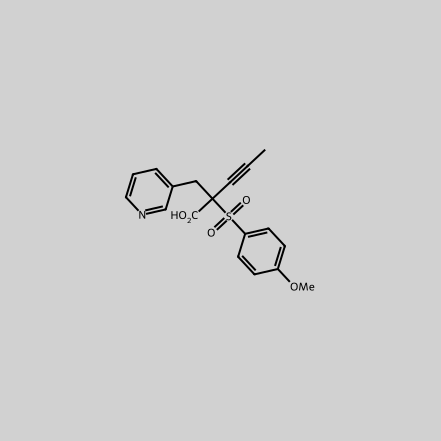 CC#CC(Cc1cccnc1)(C(=O)O)S(=O)(=O)c1ccc(OC)cc1